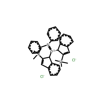 C[Si](C)(C)C1=Cc2ccccc2[CH]1[Zr+2]([CH]1C([Si](C)(C)C)=Cc2ccccc21)=[Si](c1ccccc1)c1ccccc1.[Cl-].[Cl-]